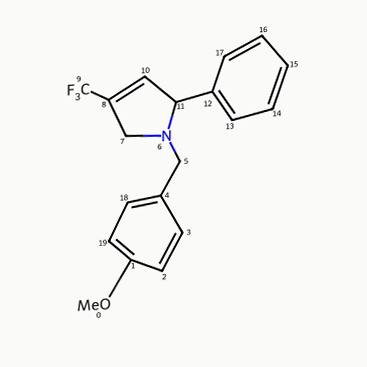 COc1ccc(CN2CC(C(F)(F)F)=CC2c2ccccc2)cc1